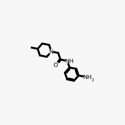 CC1CCN(CC(=O)Nc2cccc(N)c2)CC1